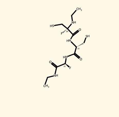 CCNC(=O)[C@H](F)NC(=O)[C@@H](CS)NC(=O)[C@@](F)(CS)NCC